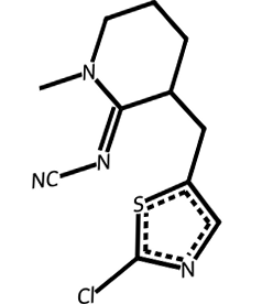 CN1CCCC(Cc2cnc(Cl)s2)C1=NC#N